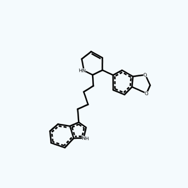 C1=CC(c2ccc3c(c2)OCO3)C(CCCCc2c[nH]c3ccccc23)NC1